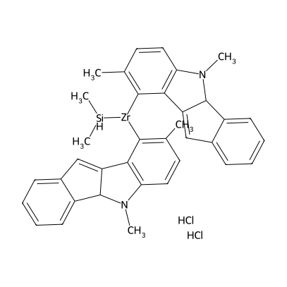 Cc1ccc2c([c]1[Zr]([c]1c(C)ccc3c1C1=Cc4ccccc4C1N3C)[SiH](C)C)C1=Cc3ccccc3C1N2C.Cl.Cl